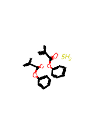 C=C(C)C(=O)Oc1ccccc1.C=C(C)C(=O)Oc1ccccc1.S